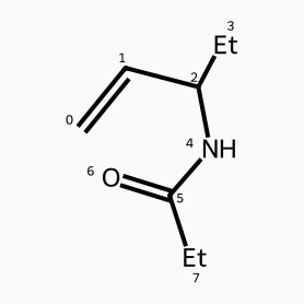 C=CC(CC)NC(=O)CC